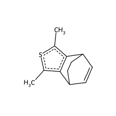 Cc1sc(C)c2c1C1C=CC2CC1